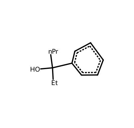 [CH2]CC(O)(CCC)c1ccccc1